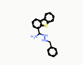 NC(NNCc1ccccc1)c1cccc2c1sc1ccccc12